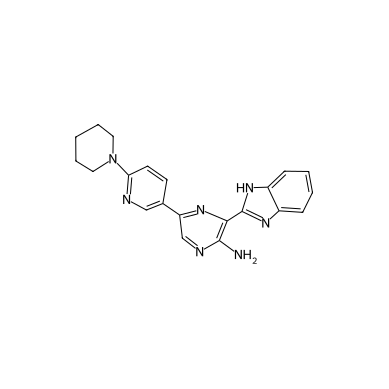 Nc1ncc(-c2ccc(N3CCCCC3)nc2)nc1-c1nc2ccccc2[nH]1